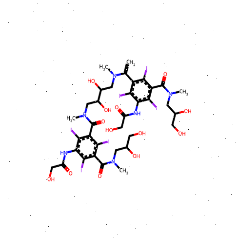 C=C(c1c(I)c(NC(=O)CO)c(I)c(C(=O)N(C)CC(O)CO)c1I)N(C)CC(O)C(O)CN(C)C(=O)c1c(I)c(NC(=O)CO)c(I)c(C(=O)N(C)CC(O)CO)c1I